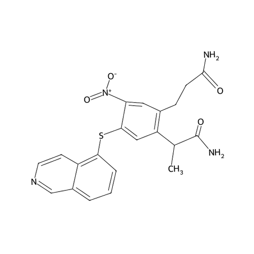 CC(C(N)=O)c1cc(Sc2cccc3cnccc23)c([N+](=O)[O-])cc1CCC(N)=O